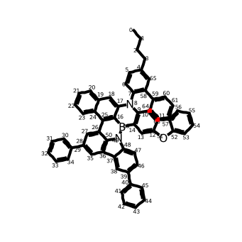 CCCCc1ccc(N2c3cc4c(cc3B3c5c2cc2ccccc2c5-c2cc(-c5ccccc5)cc5c6cc(-c7ccccc7)ccc6n3c25)oc2ccccc24)c(-c2ccccc2)c1